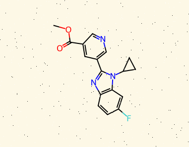 COC(=O)c1cncc(-c2nc3ccc(F)cc3n2C2CC2)c1